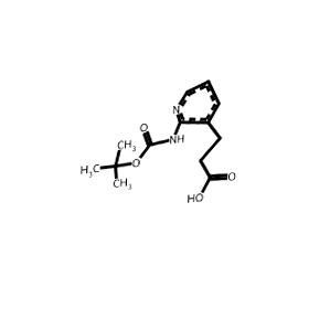 CC(C)(C)OC(=O)Nc1ncccc1CCC(=O)O